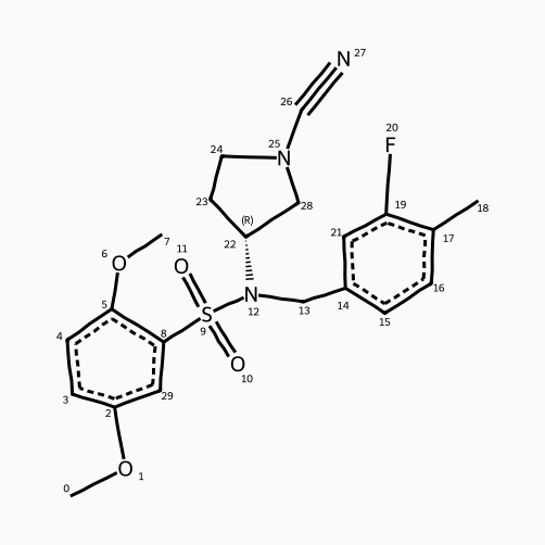 COc1ccc(OC)c(S(=O)(=O)N(Cc2ccc(C)c(F)c2)[C@@H]2CCN(C#N)C2)c1